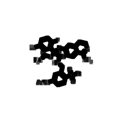 CCc1ccc(F)c(C(Nc2ccc3c(N)nccc3c2)(OC(=O)C(F)(F)F)C(=O)NCc2cc(NC(C)=O)ccc2S(=O)(=O)CC)c1